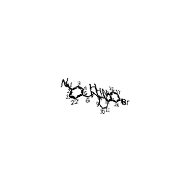 N#Cc1ccc(CN[C@@H]2CCCc3c2[nH]c2ccc(Br)cc32)cc1